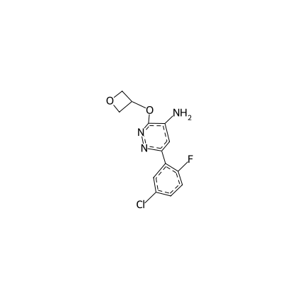 Nc1cc(-c2cc(Cl)ccc2F)nnc1OC1COC1